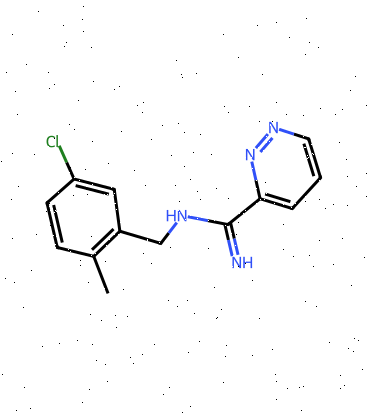 Cc1ccc(Cl)cc1CNC(=N)c1cccnn1